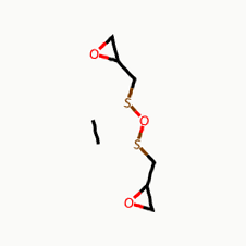 C1OC1CSOSCC1CO1.CC